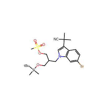 CC(C)(C#N)c1cn(CC(CO[Si](C)(C)C(C)(C)C)COS(C)(=O)=O)c2cc(Br)ccc12